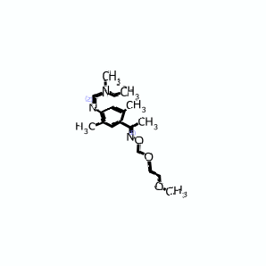 CCN(C)/C=N\c1cc(C)c(/C(C)=N/OCOCCOC)cc1C